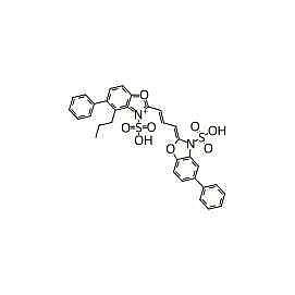 CCCc1c(-c2ccccc2)ccc2oc(C=CC=C3Oc4ccc(-c5ccccc5)cc4N3S(=O)(=O)O)[n+](S(=O)(=O)O)c12